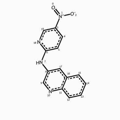 O=[N+]([O-])c1ccc(Nc2cnc3ccccc3c2)nc1